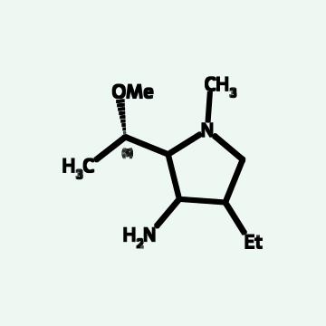 CCC1CN(C)C([C@H](C)OC)C1N